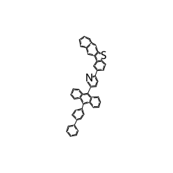 c1ccc(-c2ccc(-c3c4ccccc4c(-c4ccc(-c5ccc6sc7cc8ccccc8cc7c6c5)nc4)c4ccccc34)cc2)cc1